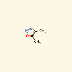 [CH2]c1cnoc1C